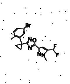 Cc1ccc(Br)cc1C1(c2noc(-c3cc(C(F)F)n(C)n3)n2)CC1